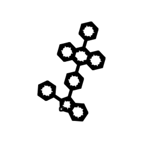 c1ccc(-c2oc3ccccc3c2-c2ccc(-c3c4ccccc4c(-c4ccccc4)c4ccccc34)cc2)cc1